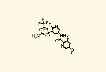 COc1cnc(C(=O)Nc2cnc(F)c([C@@]3(C)C[C@@H](C(F)(F)F)OC(N)=N3)c2)c(Cl)c1